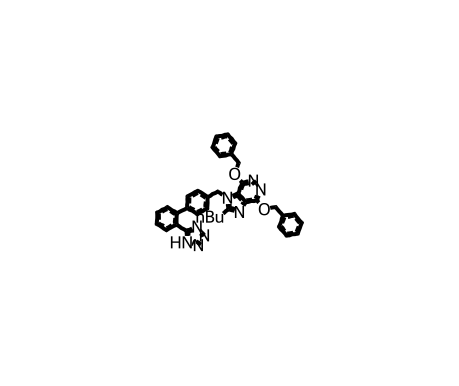 CCCCc1nc2c(OCc3ccccc3)nnc(OCc3ccccc3)c2n1Cc1ccc(-c2ccccc2-c2nnn[nH]2)cc1